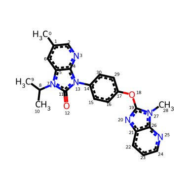 Cc1cnc2c(c1)n(C(C)C)c(=O)n2-c1ccc(Oc2nc3cccnc3n2C)cc1